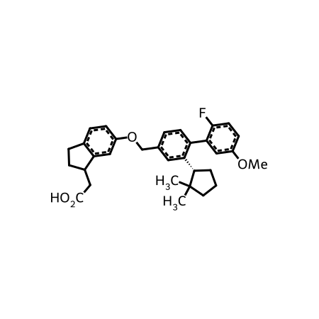 COc1ccc(F)c(-c2ccc(COc3ccc4c(c3)C(CC(=O)O)CC4)cc2[C@@H]2CCCC2(C)C)c1